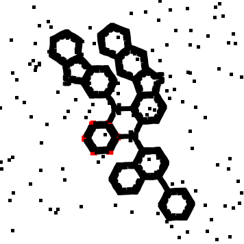 c1ccc(-c2ccc(N(c3ccccc3)c3ccc4sc5cc6ccccc6cc5c4c3N(c3ccccc3)c3ccc4c(c3)sc3ccccc34)c3ccccc23)cc1